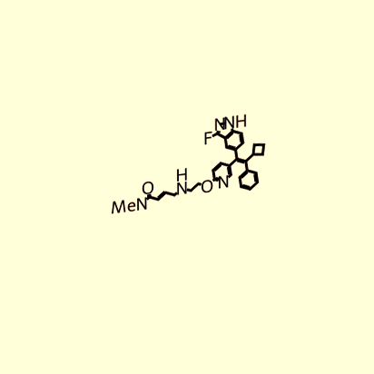 CNC(=O)/C=C/CNCCOc1ccc(/C(=C(\c2ccccc2)C2CCC2)c2ccc3[nH]nc(F)c3c2)cn1